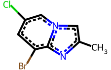 Cc1cn2cc(Cl)cc(Br)c2n1